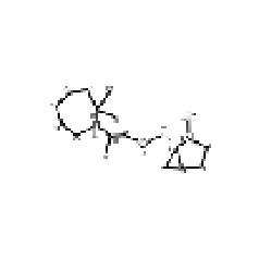 CCN1CCC2C[C@]21COCC(C)N1CCCCCC1(C)C